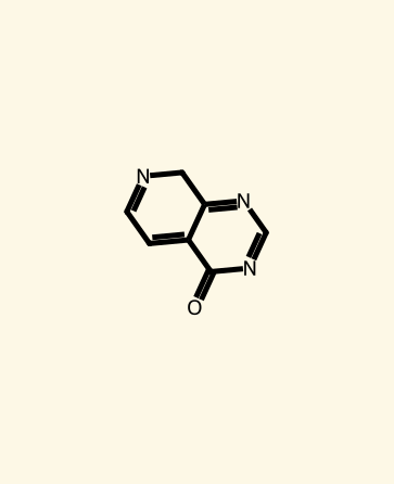 O=C1N=CN=C2CN=CC=C12